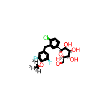 [2H]C([2H])([2H])Oc1c(F)cc(Cc2cc([C@@H]3O[C@H](CO)[C@@H](O)[C@H](O)[C@H]3O)ccc2Cl)cc1F